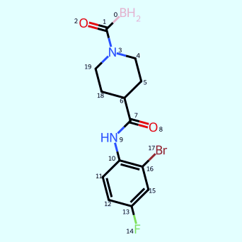 BC(=O)N1CCC(C(=O)Nc2ccc(F)cc2Br)CC1